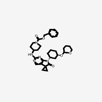 O=C(OCc1ccccc1)N1CCC(Nc2ncc3c(n2)N([C@@H]2CCC[C@@H](OC4CCCCO4)C2)C(=O)C32CC2)CC1